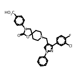 O=C(O)c1ccc(N2CC3(CCN(Cc4cn(-c5ccccc5)nc4-c4ccc(F)c(Cl)c4)CC3)OC2=O)cc1